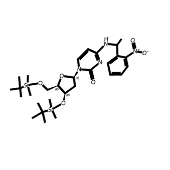 CC(Nc1ccn([C@H]2C[C@@H](O[Si](C)(C)C(C)(C)C)[C@@H](CO[Si](C)(C)C(C)(C)C)O2)c(=O)n1)c1ccccc1[N+](=O)[O-]